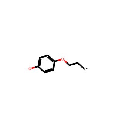 CC(C)CCOc1ccc([O])cc1